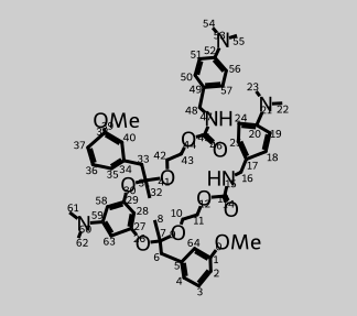 COc1cccc(CC(C)(OCCOC(=O)NCc2ccc(N(C)C)cc2)Oc2cc(OC(C)(Cc3cccc(OC)c3)OCCOC(=O)NCc3ccc(N(C)C)cc3)cc(N(C)C)c2)c1